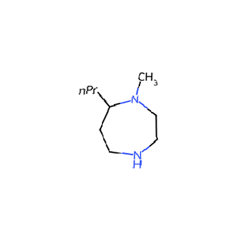 CCCC1CCNCCN1C